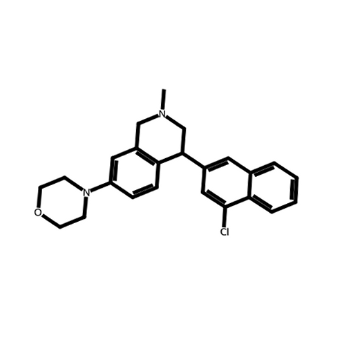 CN1Cc2cc(N3CCOCC3)ccc2C(c2cc(Cl)c3ccccc3c2)C1